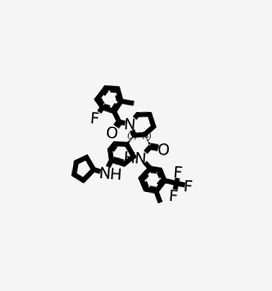 Cc1ccc(NC(=O)[C@H]2CCCN(C(=O)c3c(C)cccc3F)[C@H]2C2C=CC(NC3CCCC3)=CC2)cc1C(F)(F)F